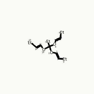 CCC=COC(CC)(OC=CCC)OC=CCC